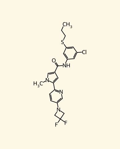 CCCSc1cc(Cl)cc(NC(=O)c2cc(-c3ccc(N4CC(F)(F)C4)cn3)n(C)c2)c1